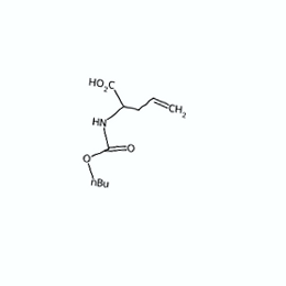 C=CCC(NC(=O)OCCCC)C(=O)O